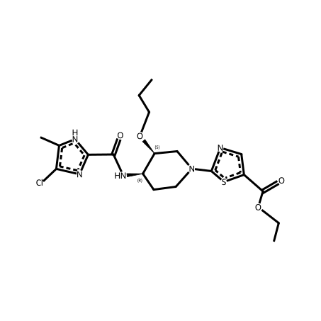 CCCO[C@H]1CN(c2ncc(C(=O)OCC)s2)CC[C@H]1NC(=O)c1nc(Cl)c(C)[nH]1